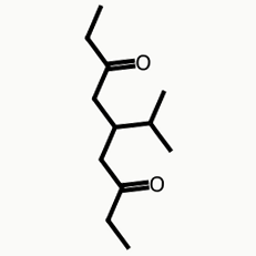 CCC(=O)CC(CC(=O)CC)C(C)C